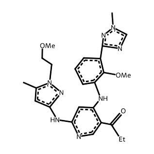 CCC(=O)c1cnc(Nc2cc(C)n(CCOC)n2)cc1Nc1cccc(-c2ncn(C)n2)c1OC